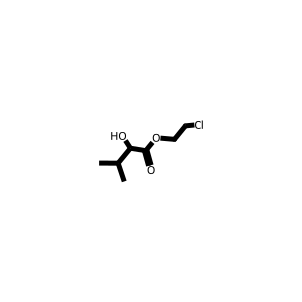 CC(C)C(O)C(=O)OCCCl